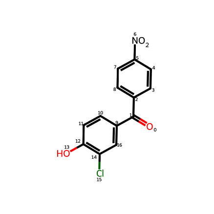 O=C(c1ccc([N+](=O)[O-])cc1)c1ccc(O)c(Cl)c1